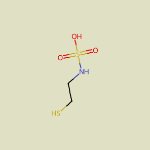 O=S(=O)(O)NCCS